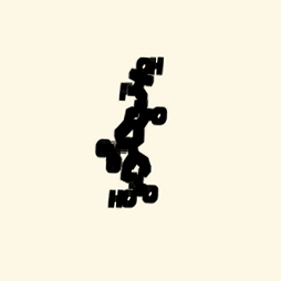 CC(C)(O)C(F)CN1Cc2cc([N+](=O)[O-])c(C3=CCN(C(=O)O)CC3)cc2C1=O